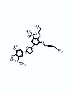 CCCOc1c(OCC#CCN)cc([C@H]2CC[C@H](c3cc(OC)c(OC)c(OC)c3)O2)cc1S(C)(=O)=O